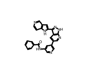 O=C(Nc1cncc(-c2cnc3[nH]nc(-c4cc5cnccc5[nH]4)c3c2)c1)c1ccccc1